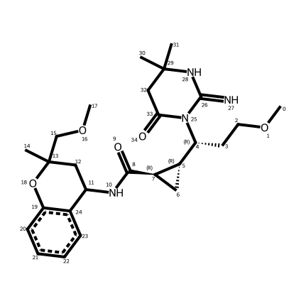 COCC[C@H]([C@@H]1C[C@H]1C(=O)NC1CC(C)(COC)Oc2ccccc21)N1C(=N)NC(C)(C)CC1=O